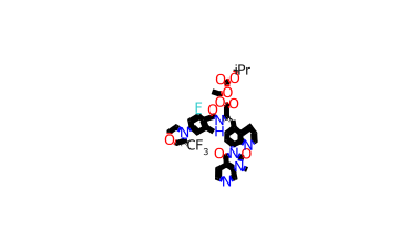 Cc1cc(N2CCOC[C@@H]2C(F)(F)F)cc(F)c1C(=O)N[C@@H](Cc1ccc(-n2c(=O)c3ccncc3n(C)c2=O)c2ncccc12)C(=O)OC(C)OC(=O)OC(C)C